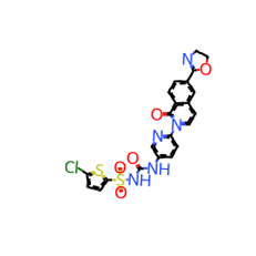 O=C(Nc1ccc(-n2ccc3cc(C4=NCCO4)ccc3c2=O)nc1)NS(=O)(=O)c1ccc(Cl)s1